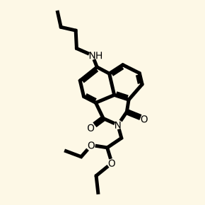 CCCCNc1ccc2c3c(cccc13)C(=O)N(CC(OCC)OCC)C2=O